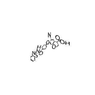 N#Cc1cc2c(cc1Oc1ccc(C(=O)Nc3nc4ccccc4s3)cc1)OCCC2C(=O)O